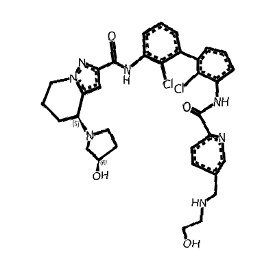 O=C(Nc1cccc(-c2cccc(NC(=O)c3cc4n(n3)CCC[C@@H]4N3CC[C@@H](O)C3)c2Cl)c1Cl)c1ccc(CNCCO)cn1